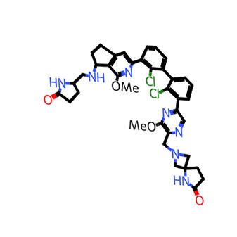 COc1nc(-c2cccc(-c3cccc(-c4cc5c(c(OC)n4)C(NCC4CCC(=O)N4)CC5)c3Cl)c2Cl)cnc1CN1CC2(CCC(=O)N2)C1